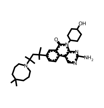 CC1(C)CCCN(C(C)(C)CC(C)(C)c2ccc3c(c2)c(=O)n(C2CCC(O)CC2)c2nc(N)ncc32)CCC1